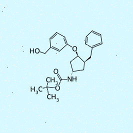 CC(C)(C)OC(=O)N[C@H]1C[C@H](Cc2ccccc2)[C@H](Oc2cccc(CO)c2)C1